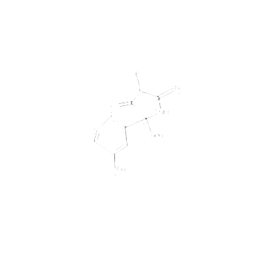 CCCCc1cccc(C2(CCCC)NC(=N)N(C)C2=O)c1